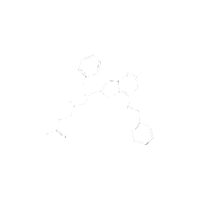 N=C(N)NCC(=O)N[C@H](Cc1ccccc1)c1cc2cc(Cl)cc(NCc3ccccc3)c2[nH]1